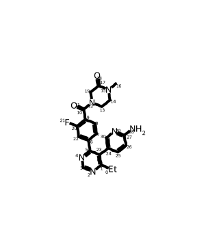 CCc1ncnc(-c2ccc(C(=O)N3CCN(C)C(=O)C3)c(F)c2)c1-c1ccc(N)nc1